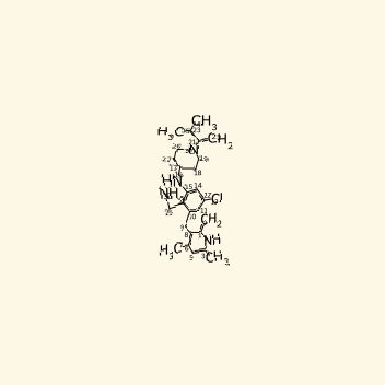 C=C1NC(C)=CC(C)=C1Cc1cc(Cl)cc(NC2CCN(C(=C)C(C)C)CC2)c1CN